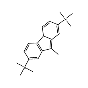 CC1=C2C=C([Si](C)(C)C)C=CC2c2ccc([Si](C)(C)C)cc21